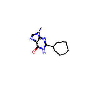 Cn1cnc2c(=O)[nH]c(C3CCCCCCC3)nc21